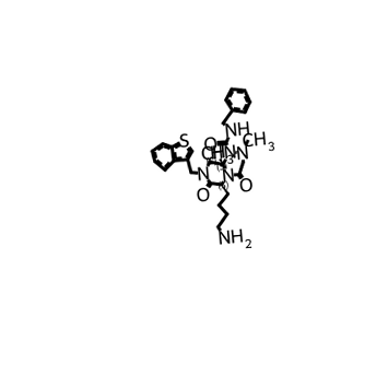 C[C@H]1[C@H]2N(C(=O)CN(C)N2C(=O)NCc2ccccc2)[C@@H](CCCCN)C(=O)N1Cc1csc2ccccc12